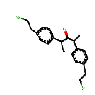 CC(C(=O)C(C)c1ccc(CCBr)cc1)c1ccc(CCBr)cc1